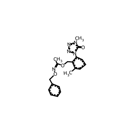 CC(=NOCc1ccccc1)OCc1c(C)cccc1-n1nnn(C)c1=O